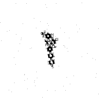 COc1cc(N2CCC(N3CCN(C)CC3)CC2)ccc1Nc1ncc(Cl)c(Nc2ccc(P(C)(C)=O)cc2OC(C)C)n1